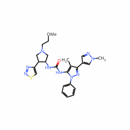 COCCN1CC(c2csnn2)[C@H](NC(=O)Nc2c(C)c(-c3cnn(C)c3)nn2-c2ccccc2)C1